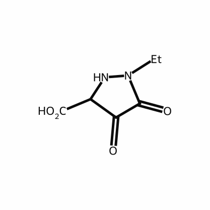 CCN1NC(C(=O)O)C(=O)C1=O